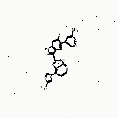 Cc1cn(-c2ccnc3[nH]c(-c4n[nH]c5cc(F)c(-c6cncc(N)c6)cc45)nc23)cn1